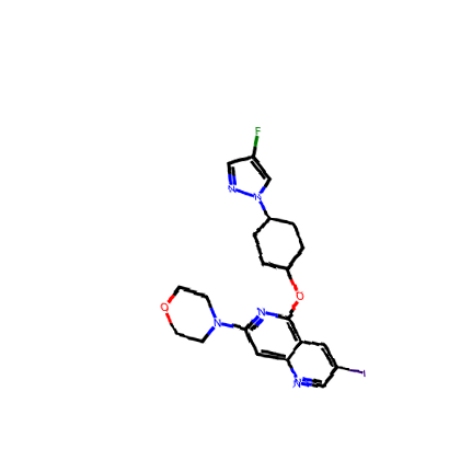 Fc1cnn(C2CCC(Oc3nc(N4CCOCC4)cc4ncc(I)cc34)CC2)c1